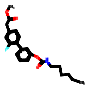 CCCCCCNC(=O)Oc1cccc(-c2ccc(CC(=O)OC)cc2F)c1